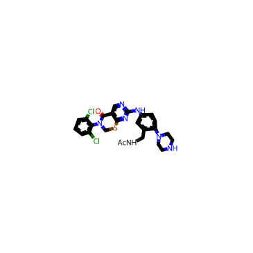 CC(=O)NCc1cc(Nc2ncc3c(n2)SCN(c2c(Cl)cccc2Cl)C3=O)ccc1N1CCNCC1